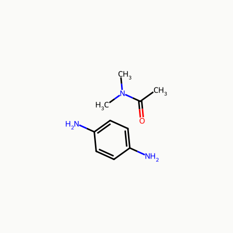 CC(=O)N(C)C.Nc1ccc(N)cc1